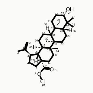 C=C(C)[C@@H]1CC[C@]2(C(=O)OCl)CC[C@]3(C)[C@H](CC[C@@H]4[C@@]5(C)CC[C@H](O)C(C)(C)[C@@H]5CC[C@]43C)[C@@H]12